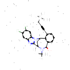 [2H]C([2H])([2H])N1C(=O)c2cccc(C#CC[Si](C)(C)C)c2[C@H]2C[C@@H]1c1nc3cc(F)c(Cl)cc3n12